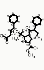 CCC(C(=O)C1C[C@@H](C(=O)OC)NC1C(C)(C)C)c1ccccc1.O=C(Cl)CCCc1ccccc1